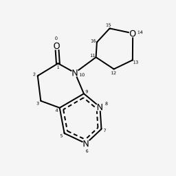 O=C1CCc2cncnc2N1C1CCOCC1